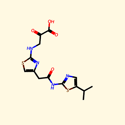 CC(C)c1cnc(NC(=O)Cc2csc(NCC(=O)C(=O)O)n2)s1